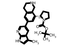 Cc1c[nH]c2ncc(-c3cc4c(c([C@@H]5CCCN5C(=O)OC(C)(C)C)c3)CNCC4)cc12